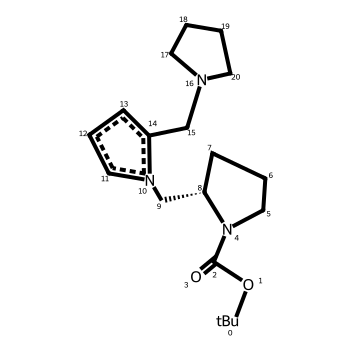 CC(C)(C)OC(=O)N1CCC[C@H]1Cn1cccc1CN1CCCC1